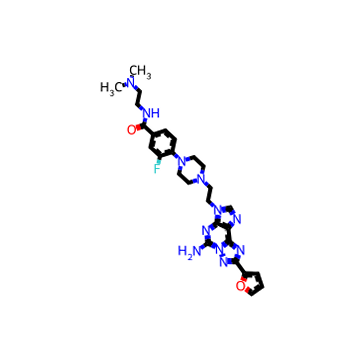 CN(C)CCNC(=O)c1ccc(N2CCN(CCn3cnc4c3nc(N)n3nc(-c5ccco5)nc43)CC2)c(F)c1